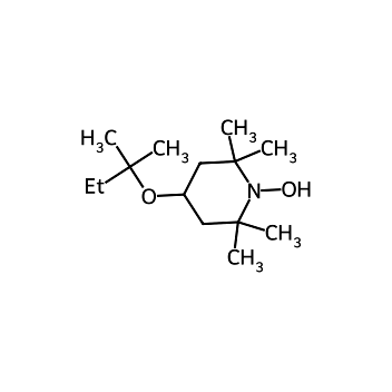 CCC(C)(C)OC1CC(C)(C)N(O)C(C)(C)C1